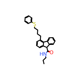 CCCNC(=O)C1c2ccccc2-c2c(CCCCSc3ccccc3)cccc21